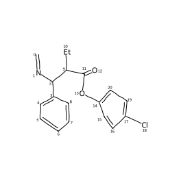 C=NC(c1ccccc1)C(CC)C(=O)Oc1ccc(Cl)cc1